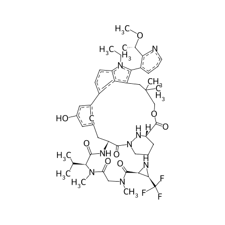 CCn1c(-c2cccnc2[C@H](C)OC)c2c3cc(ccc31)-c1cc(O)cc(c1)C[C@H](NC(=O)[C@H](C(C)C)N(C)C(=O)CN(C)C(=O)[C@H]1N[C@H]1C(F)(F)F)C(=O)N1CCC[C@H](N1)C(=O)OCC(C)(C)C2